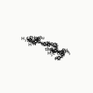 Cc1n[nH]c(Nc2ncnc3cc(OCCCN4CCN(c5ncc(OC[C@H]6CN(C[C@H]7CN(C(=O)OC(C)(C)C)[C@H](C)CN7CC(=O)N7CC(C)(C)c8ncc(Cc9ccc(F)cc9)cc87)CCO6)cn5)CC4)c(S(=O)(=O)C(C)(C)C)cc23)c1C